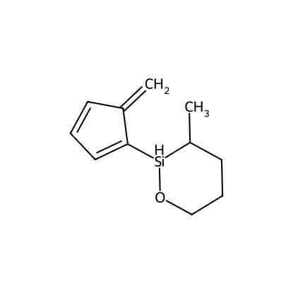 C=C1C=CC=C1[SiH]1OCCCC1C